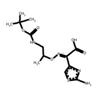 CC(CNC(=O)OC(C)(C)C)O/N=C(/C(=O)O)c1csc(N)n1